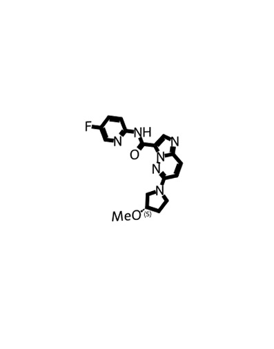 CO[C@H]1CCN(c2ccc3ncc(C(=O)Nc4ccc(F)cn4)n3n2)C1